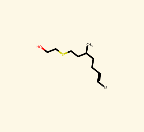 CCC=CCCC(C)CCSCCO